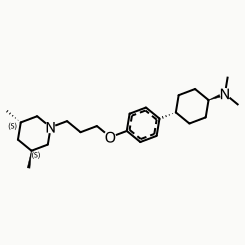 C[C@H]1C[C@H](C)CN(CCCOc2ccc([C@H]3CC[C@H](N(C)C)CC3)cc2)C1